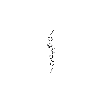 CCCCc1ccc(-c2cnc(-c3cccc(-c4nnc(-c5ccc(CCCC)cc5)o4)c3)o2)cc1